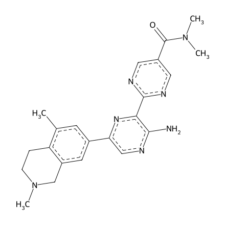 Cc1cc(-c2cnc(N)c(-c3ncc(C(=O)N(C)C)cn3)n2)cc2c1CCN(C)C2